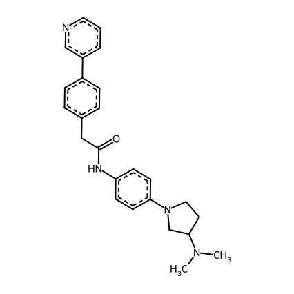 CN(C)C1CCN(c2ccc(NC(=O)Cc3ccc(-c4cccnc4)cc3)cc2)C1